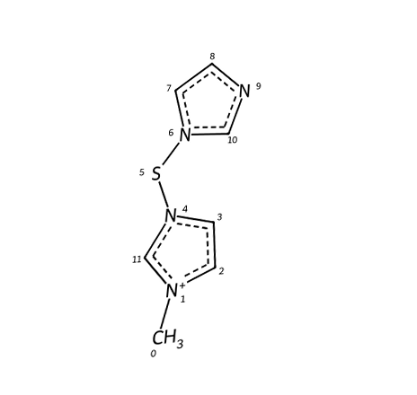 C[n+]1ccn(Sn2ccnc2)c1